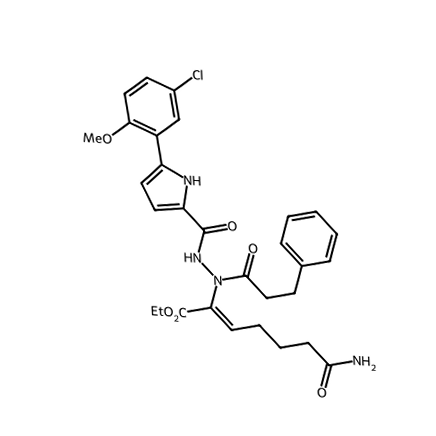 CCOC(=O)/C(=C/CCCC(N)=O)N(NC(=O)c1ccc(-c2cc(Cl)ccc2OC)[nH]1)C(=O)CCc1ccccc1